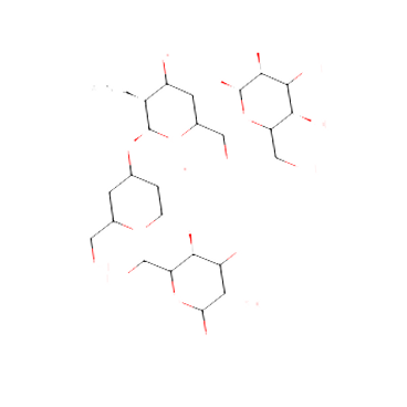 CC(=O)N[C@H]1C(O)[C@H](O[C@@H]2OC(CO)[C@H](O)C(O)[C@@H]2O)C(CO)O[C@H]1OC1[C@@H](O)C(CO)O[C@@H](O[C@@H]2C(CO)OC(O)[C@@H](O)C2O)[C@H]1O